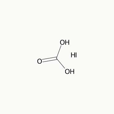 I.O=C(O)O